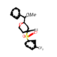 CCC1(S(=O)(=O)c2cccc(C(F)(F)F)c2)CCOC(C(OC)c2ccccc2)C1